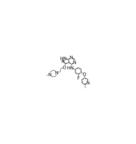 Cc1ccc(Oc2ccc(Nc3ncnc4[nH]nc(OCCN5CCN(C)CC5)c34)cc2F)cn1